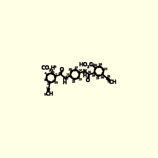 C#Cc1ccc(C(=O)O)c(C(=O)Nc2ccc(NC(=O)c3cc(C#C)ccc3C(=O)O)cc2)c1